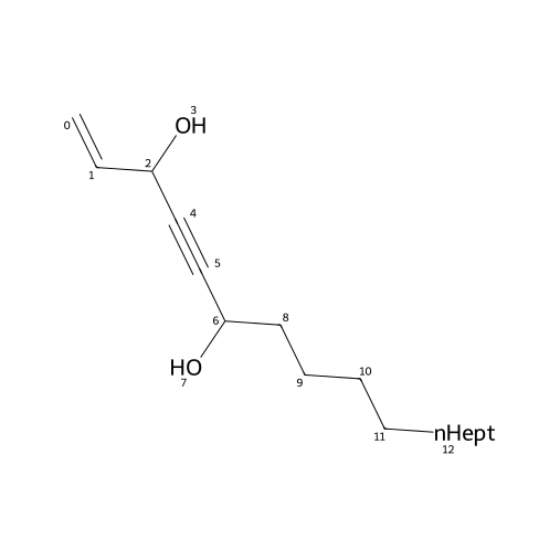 C=CC(O)C#CC(O)CCCCCCCCCCC